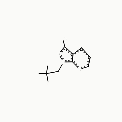 N#Cc1nn(CC(F)(F)C(F)(F)F)c2ncccc12